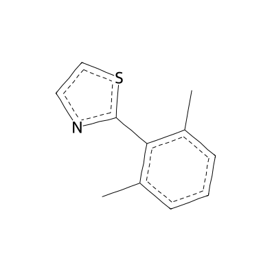 Cc1cccc(C)c1-c1nccs1